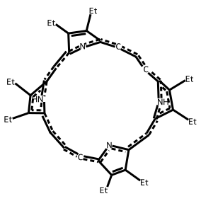 CCC1=C(CC)c2cc3[nH]c(cccc4nc(cc5[nH]c(cccc1n2)c(CC)c5CC)C(CC)=C4CC)c(CC)c3CC